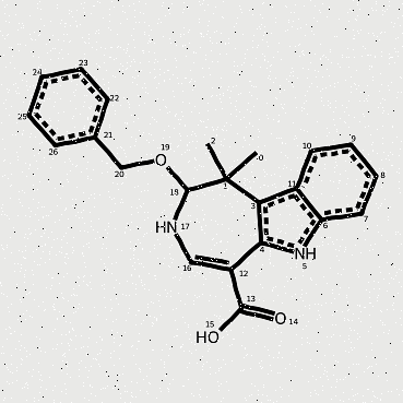 CC1(C)c2c([nH]c3ccccc23)C(C(=O)O)=CNC1OCc1ccccc1